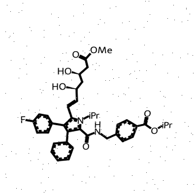 COC(=O)C[C@H](O)C[C@H](O)/C=C/c1c(-c2ccc(F)cc2)c(-c2ccccc2)c(C(=O)NCc2ccc(C(=O)OC(C)C)cc2)n1C(C)C